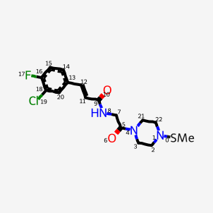 CSN1CCN(C(=O)CNC(=O)/C=C/c2ccc(F)c(Cl)c2)CC1